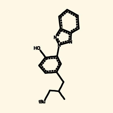 CC(Cc1ccc(O)c(-n2nc3ccccc3n2)c1)CC(C)(C)C